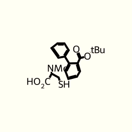 CC(C)(C)OC(=O)c1ccccc1-c1ccccc1.CN[C@@H](CS)C(=O)O